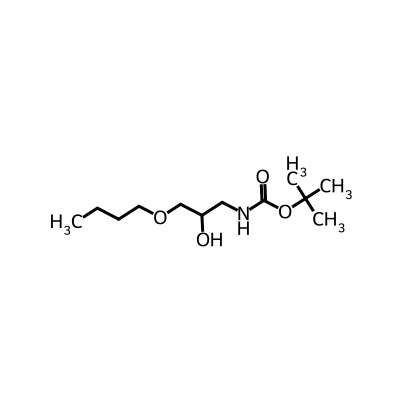 CCCCOCC(O)CNC(=O)OC(C)(C)C